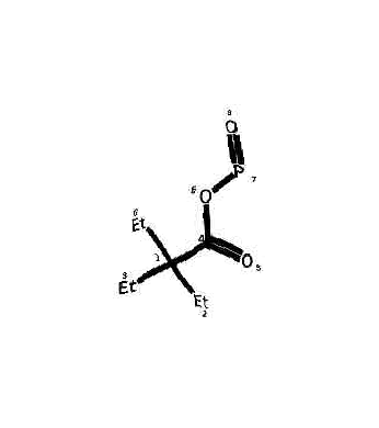 CCC(CC)(CC)C(=O)OP=O